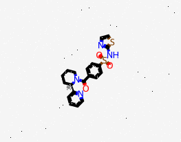 O=C(c1ccc(S(=O)(=O)Nc2nccs2)cc1)N1CCCC[C@@H]1c1ccccn1